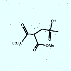 CCOC(=O)C(=O)C(CP(C)(=O)O)C(=O)OC